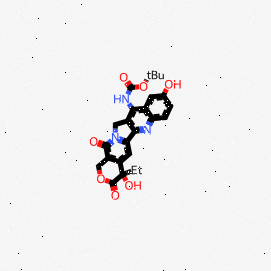 CCC1(O)C(=O)OCc2c1cc1n(c2=O)Cc2c-1nc1ccc(O)cc1c2NC(=O)OC(C)(C)C